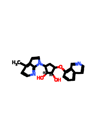 Cc1ccnc2c1ccn2C1CC(Oc2cccc3ccncc23)[C@@H](O)[C@H]1O